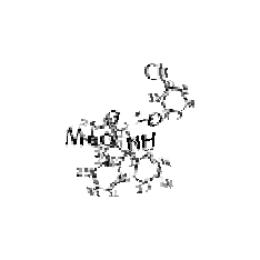 COC(=O)[C@H](COc1cccc(Cl)c1)NC(c1ccccc1)(c1ccccc1)c1ccccc1